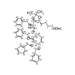 CCCCCCCCCCCCCC[C@@H]1OC(C)(C)O[C@@H]1[C@@H](CO[C@@H]1CC=C[C@H](OCc2ccccc2)[C@H](OCc2ccccc2)[C@H]1OCc1ccccc1)NCc1ccccc1